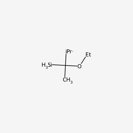 CCOC(C)([SiH3])[C](C)C